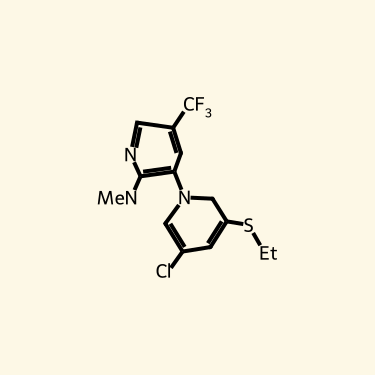 CCSC1=CC(Cl)=CN(c2cc(C(F)(F)F)cnc2NC)C1